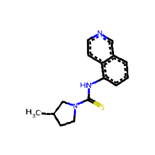 CC1CCN(C(=S)Nc2cccc3cnccc23)C1